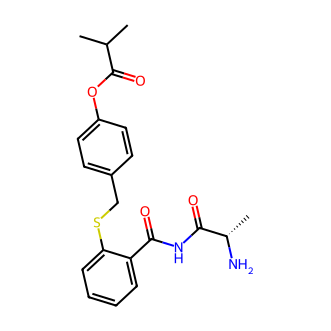 CC(C)C(=O)Oc1ccc(CSc2ccccc2C(=O)NC(=O)[C@H](C)N)cc1